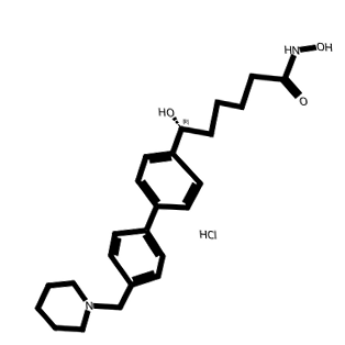 Cl.O=C(CCCC[C@@H](O)c1ccc(-c2ccc(CN3CCCCC3)cc2)cc1)NO